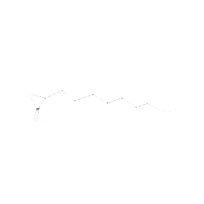 CCCCCCCCCCCCCC1OC1=O